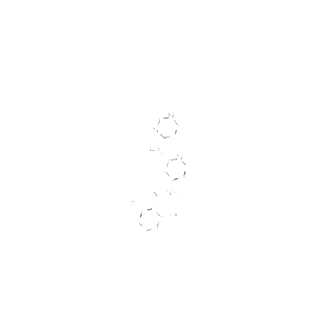 O=C(Nc1ccnc(Nc2ccncn2)c1)c1c(F)cccc1Br